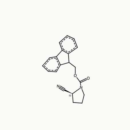 N#C[C@@H]1CCCN1C(=O)OCC1c2ccccc2-c2ccccc21